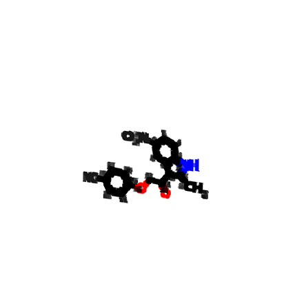 Cc1[nH]c2ccc([N+](=O)[O-])cc2c1C(=O)COc1ccc(C#N)cc1